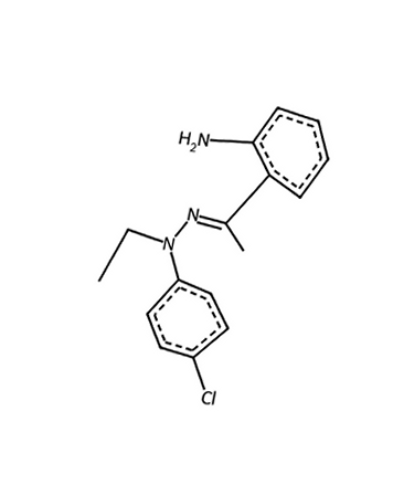 CCN(/N=C(\C)c1ccccc1N)c1ccc(Cl)cc1